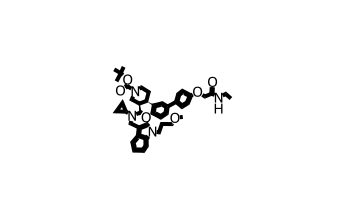 CCNC(=O)COc1ccc(-c2cccc([C@H]3CCN(C(=O)OC(C)(C)C)C[C@@H]3C(=O)N(Cc3cn(CCCOC)c4ccccc34)C3CC3)c2)cc1